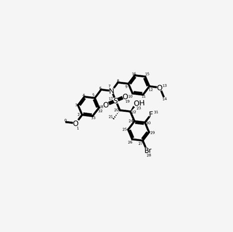 COc1ccc(CN(Cc2ccc(OC)cc2)S(=O)(=O)[C@@H](C)[C@@H](O)c2ccc(Br)cc2F)cc1